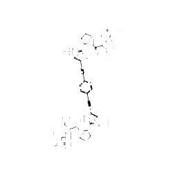 COC(=O)N[C@H](C(=O)N1CCC[C@H]1c1nc(C#Cc2ccc(C#Cc3c[nH]c([C@@H]4CCCN4C(=O)[C@@H](NC(=O)O)[C@@H](C)OC)n3)cc2)c[nH]1)[C@@H](C)OC